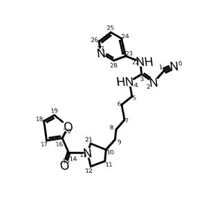 N#C/N=C(/NCCCCCC1CCN(C(=O)c2ccco2)C1)Nc1cccnc1